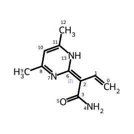 C=C/C(C(N)=O)=C1/N=C(C)C=C(C)N1